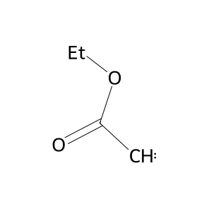 [CH]C(=O)OCC